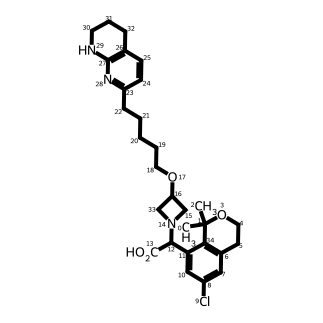 CC1(C)OCCc2cc(Cl)cc(C(C(=O)O)N3CC(OCCCCCc4ccc5c(n4)NCCC5)C3)c21